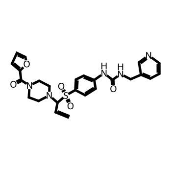 C=CC(N1CCN(C(=O)c2ccco2)CC1)S(=O)(=O)c1ccc(NC(=O)NCc2cccnc2)cc1